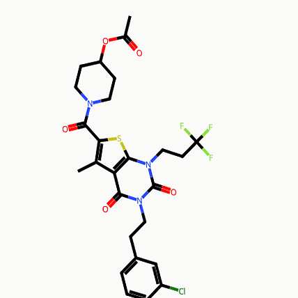 CC(=O)OC1CCN(C(=O)c2sc3c(c2C)c(=O)n(CCc2cccc(Cl)c2)c(=O)n3CCC(F)(F)F)CC1